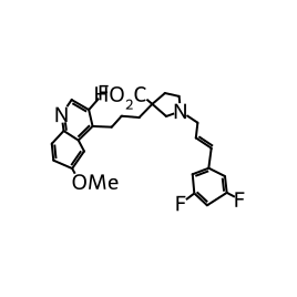 COc1ccc2ncc(F)c(CCCC3(C(=O)O)CCN(C/C=C/c4cc(F)cc(F)c4)C3)c2c1